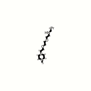 CC(C)CNCCOCCOCCN1CCN(C)CC1